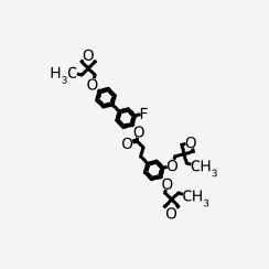 CCC1(COc2ccc(-c3ccc(OC(=O)CCc4ccc(OCC5(CC)COC5)c(OCC5(CC)COC5)c4)c(F)c3)cc2)COC1